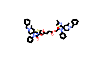 Cc1csc(C2(N(C(=O)COC(=O)/C=C/C(=O)OCC(=O)N(c3ccccc3)C3(c4nc(C)cs4)CCN(Cc4ccccc4)C(C)C3)c3ccccc3)CCN(Cc3ccccc3)C(C)C2)n1